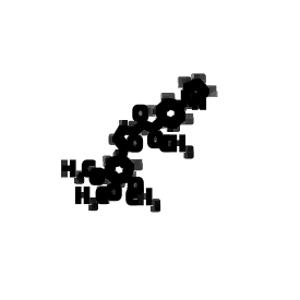 COc1cc(C2=CCC(C(=O)C(OC)c3ccc(-n4cccn4)cc3)O2)cc(OC)c1OC